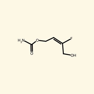 NC(=O)OC/C=C(/F)CO